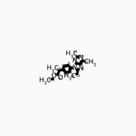 CCOC(=O)C(C)c1ccc(-n2c(CC)nc3c(C)nc(C)nc32)cc1